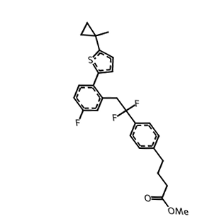 COC(=O)CCCc1ccc(C(F)(F)Cc2cc(F)ccc2-c2ccc(C3(C)CC3)s2)cc1